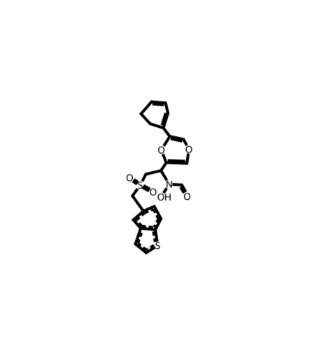 O=CN(O)C(CS(=O)(=O)Cc1ccc2sccc2c1)C1=COC=C(C2=CC=CCC2)O1